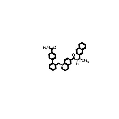 C[C@H](NC(=O)c1ccc2c(c1)CCCN2Cc1ccccc1-c1ccc(C(N)=O)cc1)c1ccc2ccccc2c1